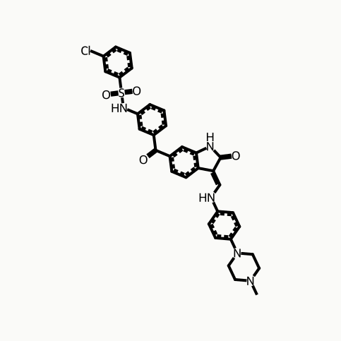 CN1CCN(c2ccc(N/C=C3/C(=O)Nc4cc(C(=O)c5cccc(NS(=O)(=O)c6cccc(Cl)c6)c5)ccc43)cc2)CC1